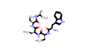 CC(C)[C@H](NC(=O)[C@H](CC(=O)O)NC(=O)[C@H](CC(=O)O)NC(=O)[C@H](CC(=O)O)NC(=O)[C@@H](N)Cc1c[nH]c2ccccc12)C(=O)O